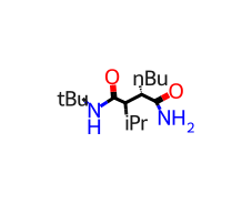 CCCC[C@H](C(N)=O)C(C(=O)NC(C)(C)C)C(C)C